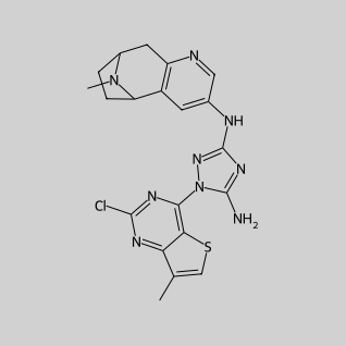 Cc1csc2c(-n3nc(Nc4cnc5c(c4)C4CCC(C5)N4C)nc3N)nc(Cl)nc12